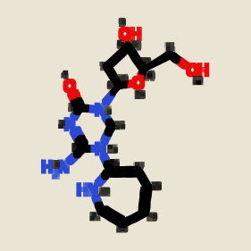 NC1=NC(=O)N([C@H]2C[C@H](O)[C@@H](CO)O2)CN1C1=CC=CC=CN1